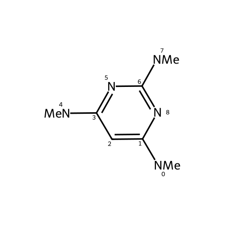 CNc1cc(NC)nc(NC)n1